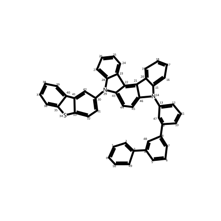 c1ccc(-c2cccc(-c3cccc(-n4c5ccccc5c5c6c7ccccc7n(-c7ccc8sc9ccccc9c8c7)c6ccc54)c3)c2)cc1